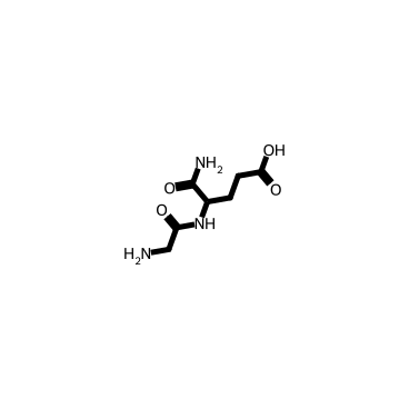 NCC(=O)NC(CCC(=O)O)C(N)=O